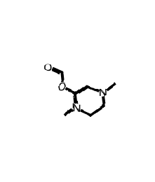 CN1CCN(C)C(OC=O)C1